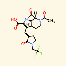 CC(=O)N1CCC2C(/C=C3\CCN(CC(F)(F)F)C3=O)=C(C(=O)O)N3C(=O)[C@@H]1[C@@H]23